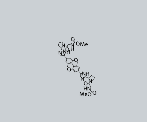 COC(=O)NCC(=O)N1CCCC1c1ncc(-c2cc3c4c(c2)OCc2cc(-c5cnc(C6CCCN6C(=O)CNC(=O)OC)[nH]5)cc(c2-4)OC3)[nH]1